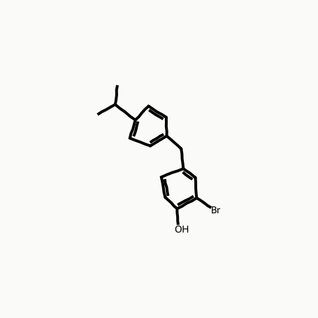 CC(C)c1ccc(Cc2ccc(O)c(Br)c2)cc1